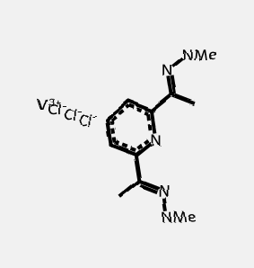 CNN=C(C)c1cccc(C(C)=NNC)n1.[Cl-].[Cl-].[Cl-].[V+3]